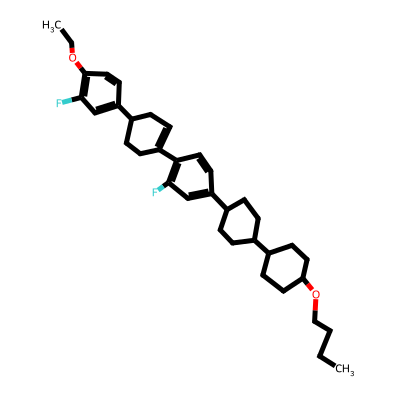 CCCCOC1CCC(C2CCC(c3ccc(C4=CCC(c5ccc(OCC)c(F)c5)CC4)c(F)c3)CC2)CC1